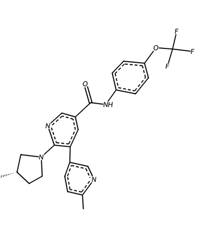 Cc1ccc(-c2cc(C(=O)Nc3ccc(OC(F)(F)F)cc3)cnc2N2CC[C@H](N)C2)cn1